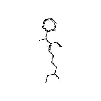 C=C/C(=C\CCCC(C)CC)N(C)c1ccccn1